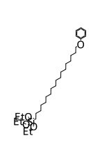 CCO[Si](CCCCCCCCCCCCCCCCCCOc1ccccc1)(OCC)OCC